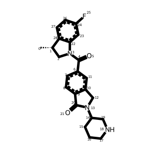 C[C@H]1CN(C(=O)c2ccc3c(c2)CN(C2CCCNC2)C3=O)c2cc(F)ccc21